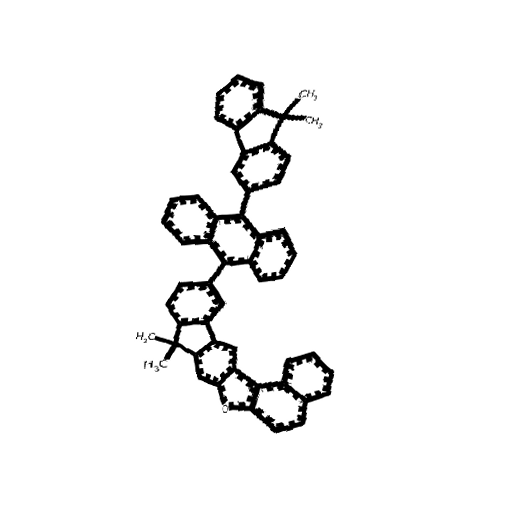 CC1(C)c2ccccc2-c2cc(-c3c4ccccc4c(-c4ccc5c(c4)-c4cc6c(cc4C5(C)C)oc4ccc5ccccc5c46)c4ccccc34)ccc21